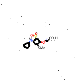 CCN(c1ccccc1)c1cc(SC)c(O/C=C/C(=O)O)cc1[SH](=O)=O